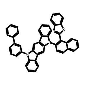 c1ccc(-c2cccc(-n3c4ccccc4c4cc5c(cc43)c3ccccc3n5-c3ccc4ccccc4c3-c3nc4ccccc4s3)c2)cc1